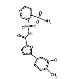 Cc1ccc(-c2ccc(C(=O)NS(=O)(=O)c3ccccc3S(N)(=O)=O)o2)cc1Cl